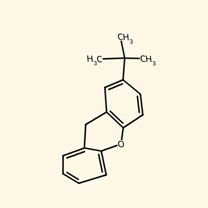 CC(C)(C)c1ccc2c(c1)Cc1ccccc1O2